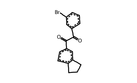 O=C(C(=O)c1ccc2c(c1)CCC2)c1cccc(Br)c1